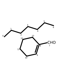 CCCCCCC.O=CC1=CCCCC1